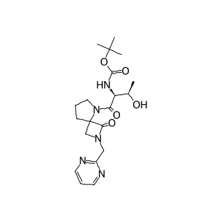 C[C@@H](O)[C@H](NC(=O)OC(C)(C)C)C(=O)N1CCCC12CN(Cc1ncccn1)C2=O